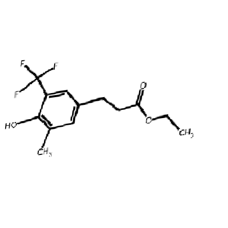 CCOC(=O)CCc1cc(C)c(O)c(C(F)(F)F)c1